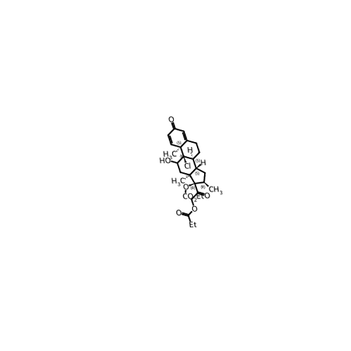 CCOC(=O)O[C@]1(C(=O)COC(=O)CC)[C@H](C)C[C@H]2[C@@H]3CCC4=CC(=O)C=C[C@]4(C)[C@@]3(Cl)C(O)C[C@@]21C